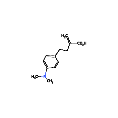 C=C(CCc1ccc(N(C)C)cc1)C(=O)O